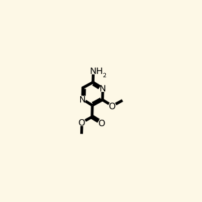 COC(=O)c1ncc(N)nc1OC